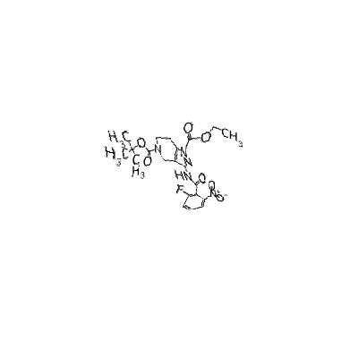 CCOC(=O)n1nc(NC(=O)c2c(F)cccc2[N+](=O)[O-])c2c1CCN(C(=O)OC(C)(C)C)C2